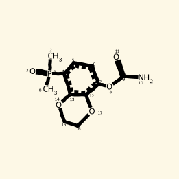 CP(C)(=O)c1ccc(OC(N)=O)c2c1OCCO2